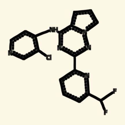 FC(F)c1cccc(-c2nc(Nc3ccncc3Cl)c3cccn3n2)n1